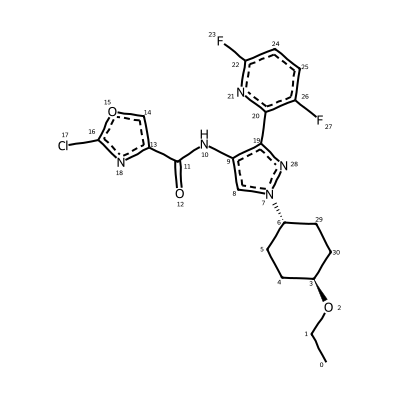 CCO[C@H]1CC[C@H](n2cc(NC(=O)c3coc(Cl)n3)c(-c3nc(F)ccc3F)n2)CC1